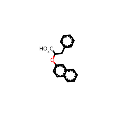 O=C(O)C(Cc1ccccc1)Oc1ccc2ccccc2c1